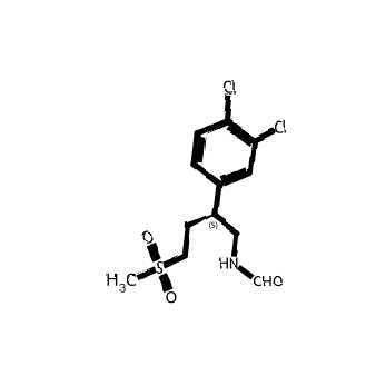 CS(=O)(=O)CC[C@H](CNC=O)c1ccc(Cl)c(Cl)c1